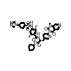 Cn1c(=O)n(-c2ccc(C[C@H](NC(=O)c3cc(F)c(NS(=O)(=O)c4ccc(-n5cnnc5)cc4)cc3F)C(=O)OC3CCCCC3)cn2)c(=O)c2ccncc21